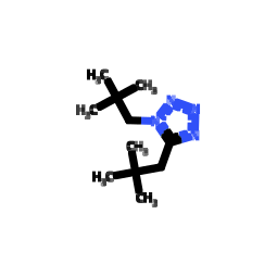 CC(C)(C)Cc1nnnn1CC(C)(C)C